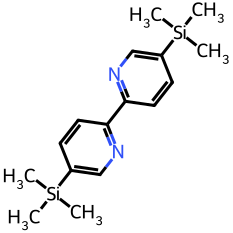 C[Si](C)(C)c1ccc(-c2ccc([Si](C)(C)C)cn2)nc1